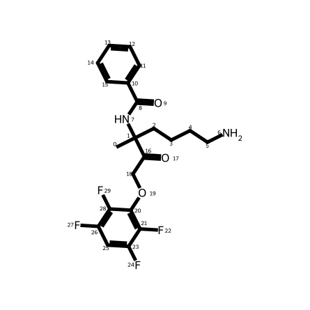 CC(CCCCN)(NC(=O)c1ccccc1)C(=O)COc1c(F)c(F)cc(F)c1F